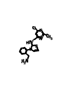 Cc1nc(Cl)cc(NC2SC=CN2c2ccccc2CN)n1